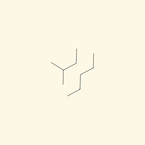 CCC(C)C.CCCCC